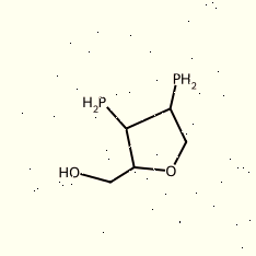 OCC1OCC(P)C1P